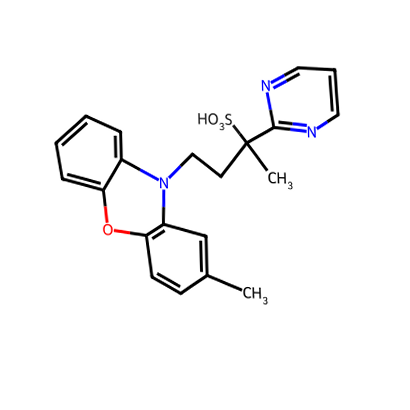 Cc1ccc2c(c1)N(CCC(C)(c1ncccn1)S(=O)(=O)O)c1ccccc1O2